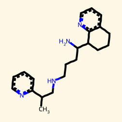 CC(CNCCCC(N)C1CCCc2cccnc21)c1ccccn1